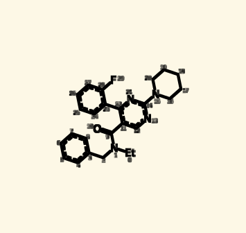 CCN(Cc1ccccc1)C(=O)c1cnc(N2CCCCC2)nc1-c1ccccc1F